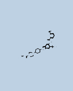 CC(C)(C)OC(=O)N1CCN(C2CCC(n3cc4cc(NC(=O)c5cccc(C(F)(F)F)n5)c(C(C)(C)O)cc4n3)CC2)CC1